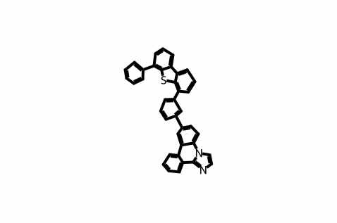 c1ccc(-c2cccc3c2sc2c(-c4cccc(-c5ccc6c(c5)c5ccccc5c5nccn65)c4)cccc23)cc1